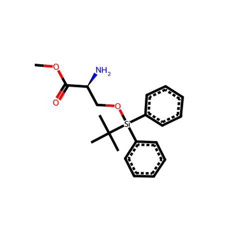 COC(=O)[C@@H](N)CO[Si](c1ccccc1)(c1ccccc1)C(C)(C)C